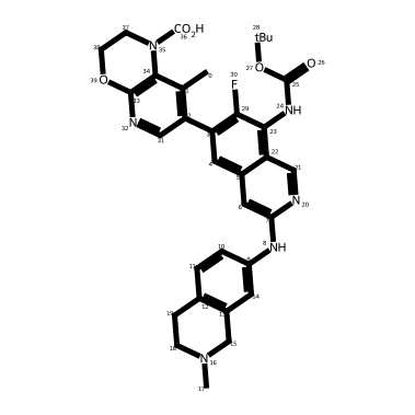 Cc1c(-c2cc3cc(Nc4ccc5c(c4)CN(C)CC5)ncc3c(NC(=O)OC(C)(C)C)c2F)cnc2c1N(C(=O)O)CCO2